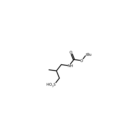 CC(CNC(=O)OC(C)(C)C)CS(=O)(=O)O